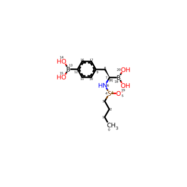 CCCC[S+]([O-])N[C@@H](Cc1ccc(B(O)O)cc1)B(O)O